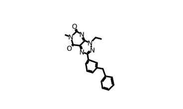 CCn1nc(-c2cccc(Cc3ccccc3)c2)nc2c(=O)n(C)c(=O)nc1-2